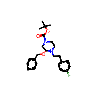 CC(C)(C)OC(=O)N1CCN(CCc2ccc(F)cc2)C(OCc2ccccc2)C1